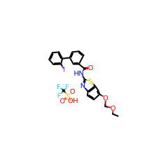 CCOCOc1ccc2nc(NC(=O)c3cccc(-c4ccccc4I)c3)sc2c1.O=S(=O)(O)C(F)(F)F